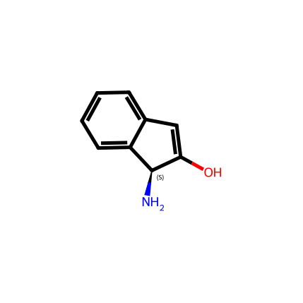 N[C@@H]1C(O)=Cc2ccccc21